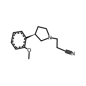 COc1ccccc1[C@H]1CCN(CCC#N)C1